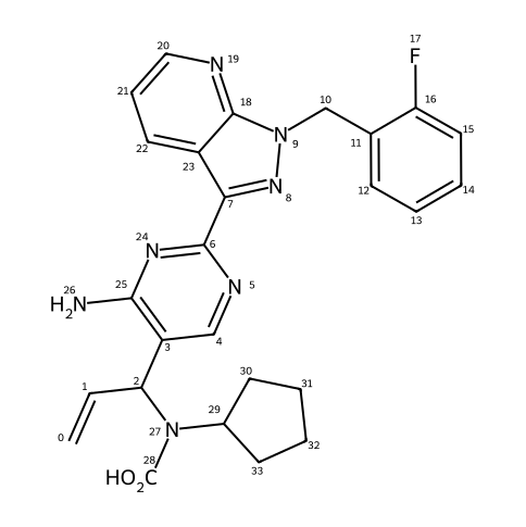 C=CC(c1cnc(-c2nn(Cc3ccccc3F)c3ncccc23)nc1N)N(C(=O)O)C1CCCC1